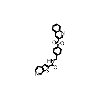 O=C(NCc1ccc(S(=O)(=O)c2cnc3ccccc3c2)cc1)c1cc2ccncc2s1